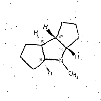 CN1[C@H]2CCC[C@H]2[C@@H]2CCC[C@@H]21